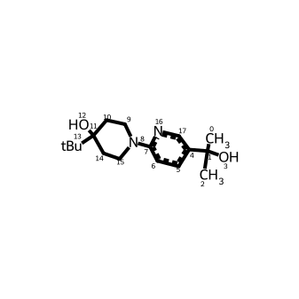 CC(C)(O)c1ccc(N2CCC(O)(C(C)(C)C)CC2)nc1